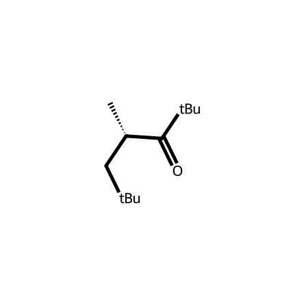 C[C@@H](CC(C)(C)C)C(=O)C(C)(C)C